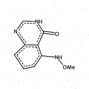 CONc1cccc2nc[nH]c(=O)c12